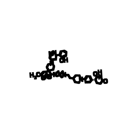 Cc1cc(C2(C(=O)N3CC4(CN(CCC5CCN(c6ccc([C@H]7CCC(=O)NC7=O)cc6)CC5)C4)C3)CCN(c3cnnc(-c4ccccc4O)c3)CC2)no1